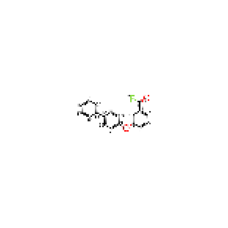 O=C(F)c1cccc(Oc2ccc(-c3ccccc3)cc2)c1